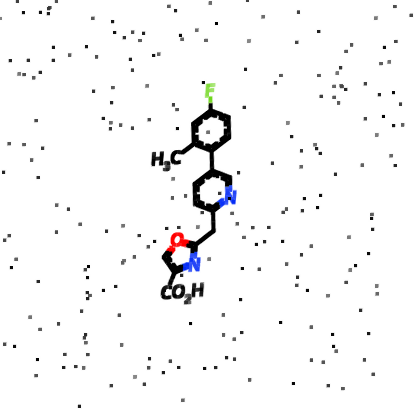 Cc1cc(F)ccc1-c1ccc(Cc2nc(C(=O)O)co2)nc1